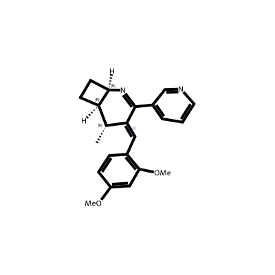 COc1ccc(/C=C2/C(c3cccnc3)=N[C@@H]3CC[C@@H]3[C@H]2C)c(OC)c1